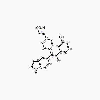 CC/C(=C(/c1ccc(/C=C/C(=O)O)cc1)c1ccc2[nH]ncc2c1)c1cccc(O)c1